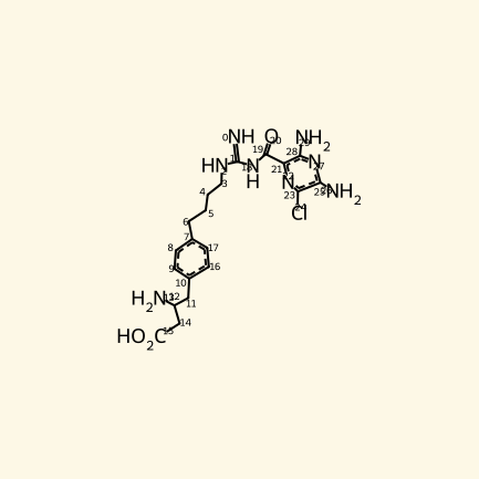 N=C(NCCCCc1ccc(CC(N)CC(=O)O)cc1)NC(=O)c1nc(Cl)c(N)nc1N